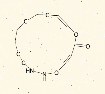 O=C1C=CONNCCCCCCCC=CO1